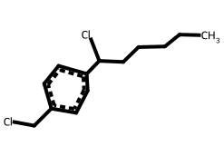 CCCCCC(Cl)c1ccc(CCl)cc1